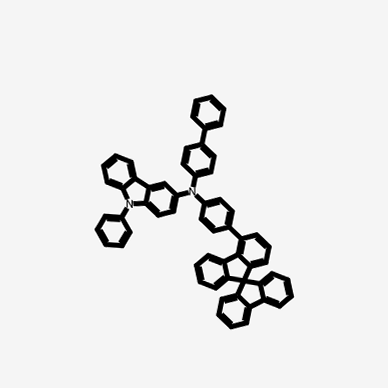 c1ccc(-c2ccc(N(c3ccc(-c4cccc5c4-c4ccccc4C54c5ccccc5-c5ccccc54)cc3)c3ccc4c(c3)c3ccccc3n4-c3ccccc3)cc2)cc1